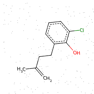 C=C(C)CCc1cccc(Cl)c1O